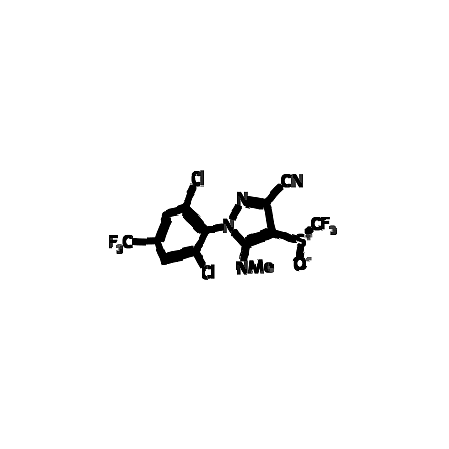 CNc1c([S+]([O-])C(F)(F)F)c(C#N)nn1-c1c(Cl)cc(C(F)(F)F)cc1Cl